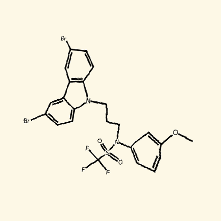 COc1cccc(N(CCCn2c3ccc(Br)cc3c3cc(Br)ccc32)S(=O)(=O)C(F)(F)F)c1